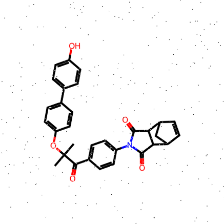 CC(C)(Oc1ccc(-c2ccc(O)cc2)cc1)C(=O)c1ccc(N2C(=O)C3C4C=CC(C4)C3C2=O)cc1